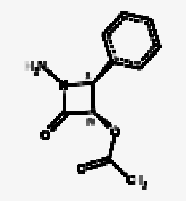 CC(=O)O[C@H]1C(=O)N(N)[C@H]1c1ccccc1